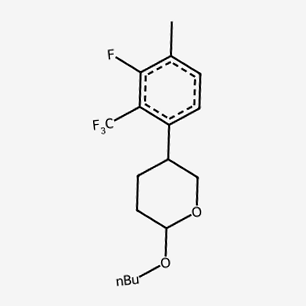 CCCCOC1CCC(c2ccc(C)c(F)c2C(F)(F)F)CO1